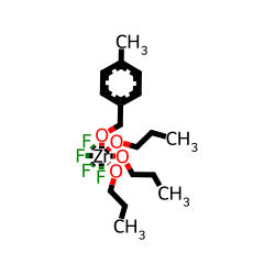 CCC[O][Zr]([F])([F])([F])([F])([O]CCC)([O]CCC)[O]Cc1ccc(C)cc1